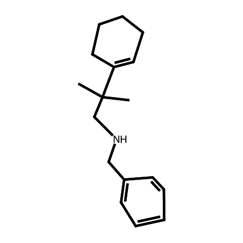 CC(C)(CNCc1ccccc1)C1=CCCCC1